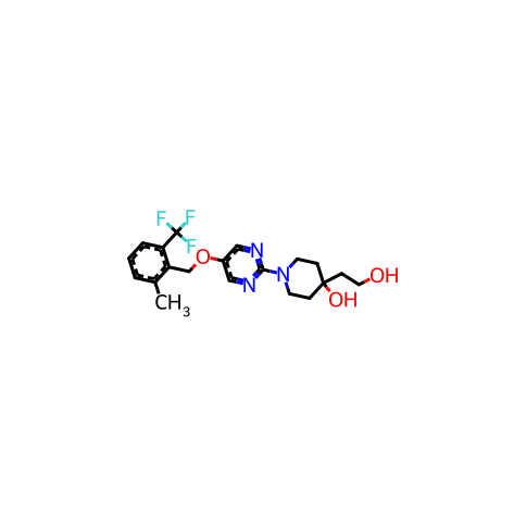 Cc1cccc(C(F)(F)F)c1COc1cnc(N2CCC(O)(CCO)CC2)nc1